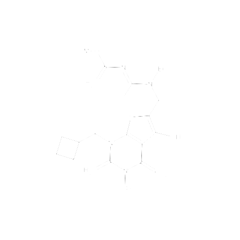 C=C(/N=C(\C)N(CC)Cc1sc2c(c1C)C(=C)N(C(C)C)C(=C)N2CC1CCC1)OC